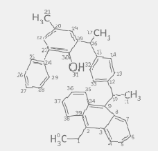 CCc1c2ccccc2c(C(C)c2ccc(C(C)c3cc(C)cc(-c4ccccc4)c3O)cc2)c2ccccc12